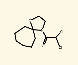 O=C(C(Cl)Cl)N1CCOC12CCCCCC2